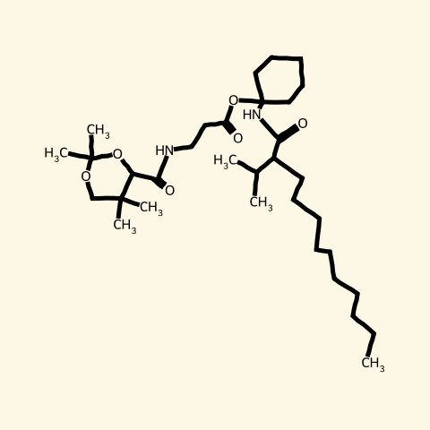 CCCCCCCCCCC(C(=O)NC1(OC(=O)CCNC(=O)C2OC(C)(C)OCC2(C)C)CCCCC1)C(C)C